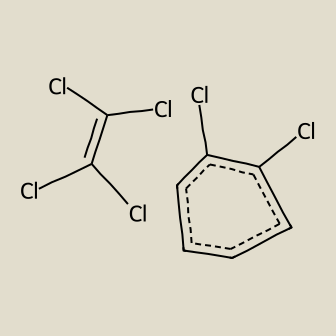 ClC(Cl)=C(Cl)Cl.Clc1ccccc1Cl